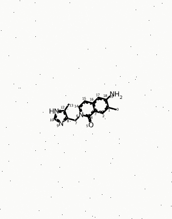 Cc1cc2c(=O)n(Cc3nc[nH]c3C)ccc2cc1N